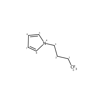 FC(F)(F)CCCn1cccc1